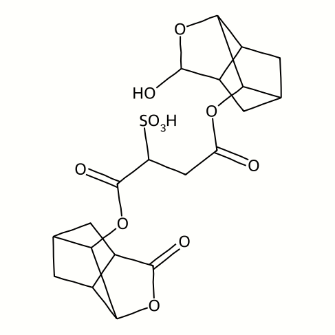 O=C(CC(C(=O)OC1C2CC3C(=O)OC1C3C2)S(=O)(=O)O)OC1C2CC3C(O)OC1C3C2